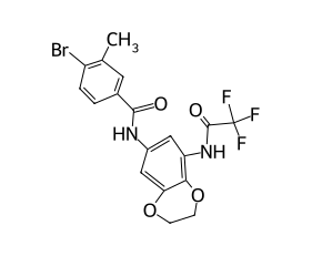 Cc1cc(C(=O)Nc2cc(NC(=O)C(F)(F)F)c3c(c2)OCCO3)ccc1Br